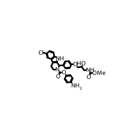 COC(=O)NCC(O)COc1ccc(C2c3[nH]c4ccc(Cl)cc4c3CCN2C(=O)Oc2ccc(N)cc2)cc1